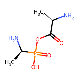 C[C@H](N)C(=O)OP(=O)(O)[C@@H](C)N